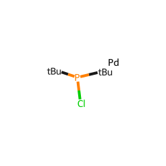 CC(C)(C)P(Cl)C(C)(C)C.[Pd]